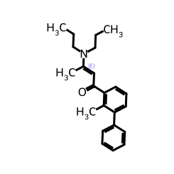 CCCN(CCC)/C(C)=C/C(=O)c1cccc(-c2ccccc2)c1C